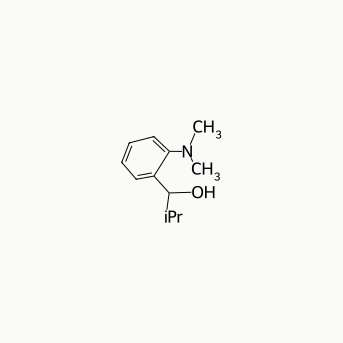 CC(C)C(O)c1ccccc1N(C)C